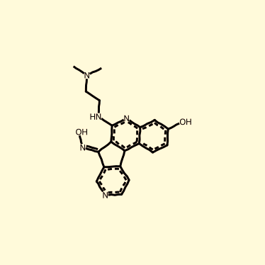 CN(C)CCNc1nc2cc(O)ccc2c2c1C(=NO)c1cnccc1-2